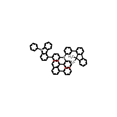 CC1(C)c2ccccc2-c2cccc(-c3cccc(N(c4ccc(-c5cccc6c5c5ccccc5n6-c5ccccc5)cc4)c4ccccc4-c4cccc5cccc(-c6ccccc6)c45)c3)c21